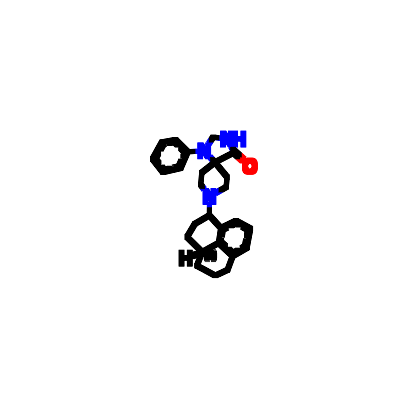 O=C1NCN(c2ccccc2)C12CCN(C1CC[C@H]3CCCc4cccc1c43)CC2